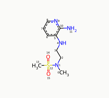 CN(CCNc1cccnc1N)S(C)(=O)=O